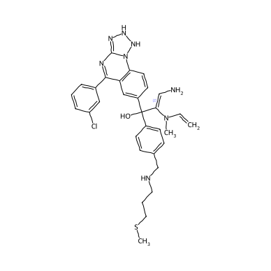 C=CN(C)/C(=C\N)C(O)(c1ccc(CNCCCSC)cc1)c1ccc2c(c1)C(c1cccc(Cl)c1)=NC1=NNNN12